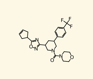 O=C(N1CCOCC1)N1CC(c2ccc(C(F)(F)F)cc2)CC(c2noc(C3CC=CC3)n2)C1